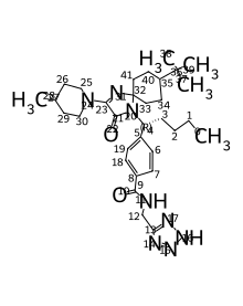 CCCC[C@H](c1ccc(C(=O)NCc2nn[nH]n2)cc1)N1C(=O)C(N2CCC(C)CC2)=NC12CCC(C(C)(C)C)CC2